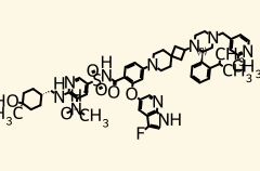 Cc1cc(CN2CCN(C3CC4(CCN(c5ccc(C(=O)NS(=O)(=O)c6cnc(NC[C@H]7CC[C@](C)(O)CC7)c([NH+](C)[O-])c6)c(Oc6cnc7[nH]cc(F)c7c6)c5)CC4)C3)[C@H](c3ccccc3C(C)C)C2)ccn1